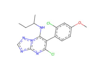 CCC(C)Nc1c(-c2ccc(OC)cc2Cl)c(Cl)nc2ncnn12